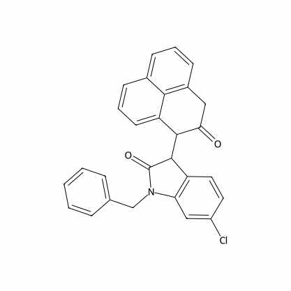 O=C1Cc2cccc3cccc(c23)C1C1C(=O)N(Cc2ccccc2)c2cc(Cl)ccc21